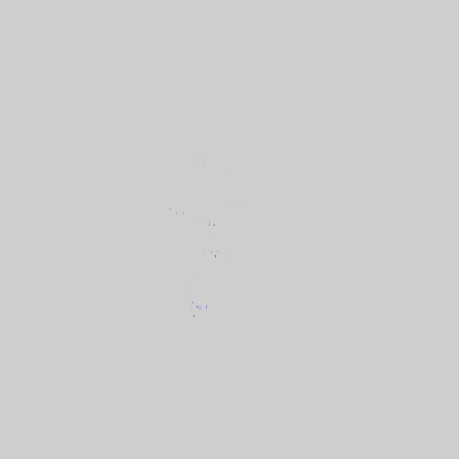 CC(O)OC(=O)NC=N